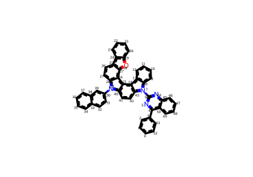 c1ccc(-c2nc(-n3c4ccccc4c4c5c6c7oc8ccccc8c7ccc6n(-c6ccc7ccccc7c6)c5ccc43)nc3ccccc23)cc1